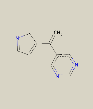 C=C(C1=CC=NC1)c1cncnc1